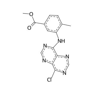 COC(=O)c1ccc(C)c(Nc2ncnc3c(Cl)ncnc23)c1